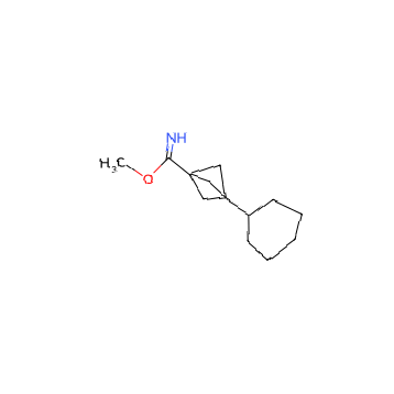 COC(=N)C12CC(C3CCCCC3)(C1)C2